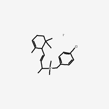 CC1=CCCC(C)(C)C1C=CC(C)[N+](C)(C)Cc1ccc(Cl)cc1.[I-]